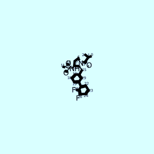 CC(C)C(=O)N1CC[C@H](NS(C)(=O)=O)[C@@H]1Cc1cccc(-c2cccc(F)c2F)c1